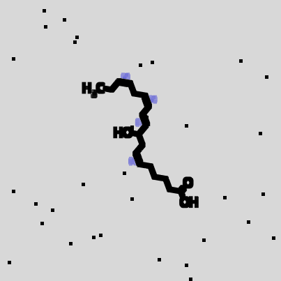 CC/C=C\C/C=C\C=C\C(O)C/C=C\CCCCC(=O)O